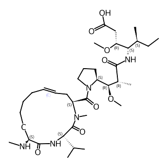 CC[C@H](C)[C@H](NC(=O)[C@H](C)[C@@H](OC)[C@@H]1CCCN1C(=O)[C@@H]1C/C=C/CCCC[C@H](NC)C(=O)N[C@@H](C(C)C)C(=O)N1C)[C@@H](CC(=O)O)OC